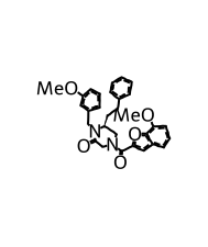 COc1cccc(CN2C(=O)CN(C(=O)c3cc4cccc(OC)c4o3)C[C@@H]2CCc2ccccc2)c1